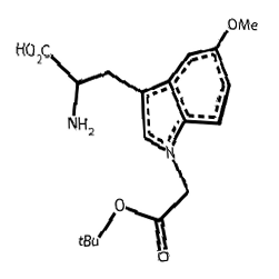 COc1ccc2c(c1)c(CC(N)C(=O)O)cn2CC(=O)OC(C)(C)C